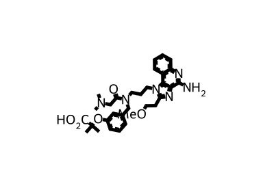 COCCc1nc2c(N)nc3ccccc3c2n1CCCN(Cc1cccc(OC(C)(C)C(=O)O)c1)C(=O)CN(C)C